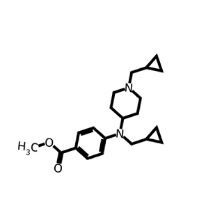 COC(=O)c1ccc(N(CC2CC2)C2CCN(CC3CC3)CC2)cc1